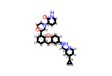 O=c1[nH]cccc1N1CCOC(c2cccc3c2Oc2ccc(NCc4cc(C5CC5)ccn4)cc2C3)C1